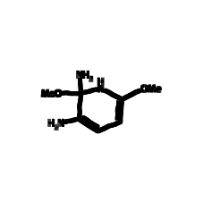 COC1=CC=C(N)C(N)(OC)N1